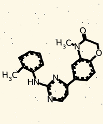 Cc1ccccc1Nc1nccc(-c2ccc3c(c2)N(C)C(=O)CO3)n1